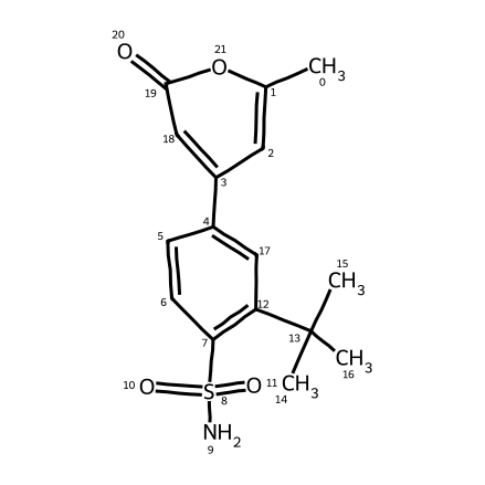 Cc1cc(-c2ccc(S(N)(=O)=O)c(C(C)(C)C)c2)cc(=O)o1